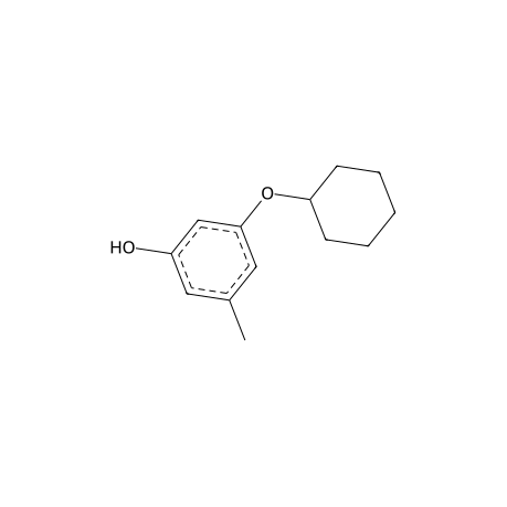 Cc1cc(O)cc(OC2CCCCC2)c1